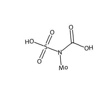 O=C(O)[N]([Mo])S(=O)(=O)O